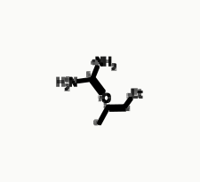 C/C=C/CC.NC(N)=O